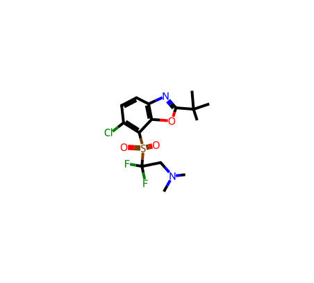 CN(C)CC(F)(F)S(=O)(=O)c1c(Cl)ccc2nc(C(C)(C)C)oc12